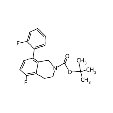 CC(C)(C)OC(=O)N1CCc2c(F)ccc(-c3ccccc3F)c2C1